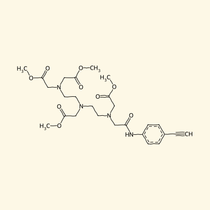 C#Cc1ccc(NC(=O)CN(CCN(CCN(CC(=O)OC)CC(=O)OC)CC(=O)OC)CC(=O)OC)cc1